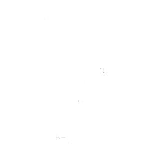 Bc1cccc2c1oc1nc(C)cc(C3CCCO3)c12